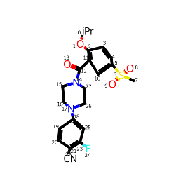 CC(C)Oc1ccc(S(C)(=O)=O)cc1C(=O)N1CCN(c2ccc(C#N)c(F)c2)CC1